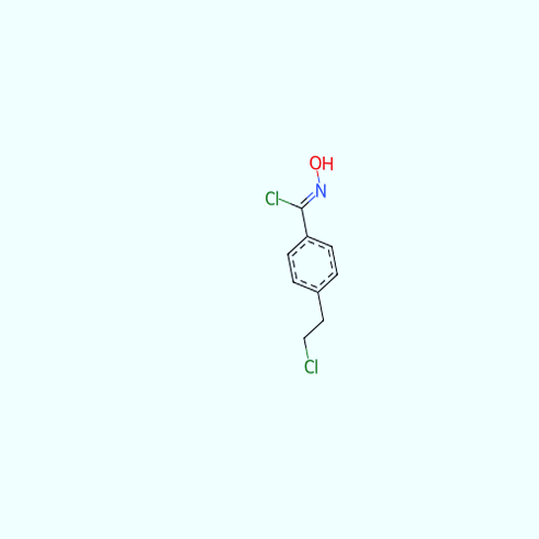 ON=C(Cl)c1ccc(CCCl)cc1